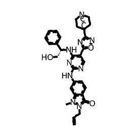 C=CCn1c(=O)c2ccc(Nc3ncc(-c4nc(C56CCN(CC5)CC6)no4)c(N[C@H](CO)c4ccccc4)n3)cc2n1C